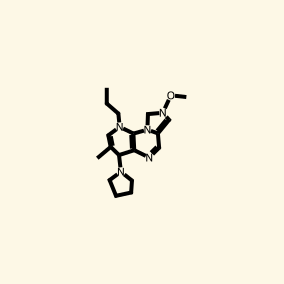 CCCN1C=C(C)C(N2CCCC2)C2=C1N1CN(OC)C=C1C=N2